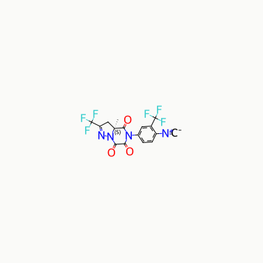 [C-]#[N+]c1ccc(N2C(=O)C(=O)N3N=C(C(F)(F)F)C[C@@]3(C)C2=O)cc1C(F)(F)F